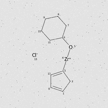 C1=CC[C]([Zr+][O]C2CCCCC2)=C1.[Cl-]